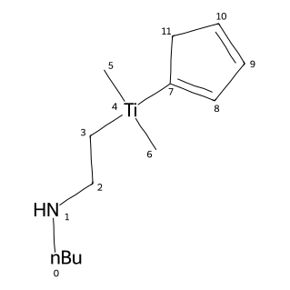 CCCCNC[CH2][Ti]([CH3])([CH3])[C]1=CC=CC1